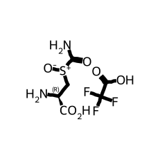 NC(=O)[S+]([O-])C[C@H](N)C(=O)O.O=C(O)C(F)(F)F